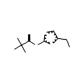 CCc1csc(NC(=O)C(C)(C)C)n1